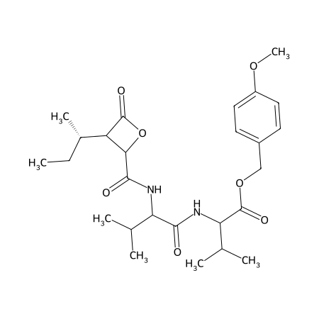 CC[C@H](C)C1C(=O)OC1C(=O)NC(C(=O)NC(C(=O)OCc1ccc(OC)cc1)C(C)C)C(C)C